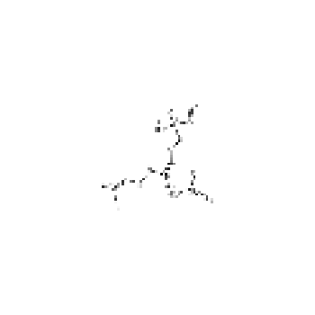 C=CC(C)(O)CCC=C(C)CCC=C(C)C.CC(=O)O